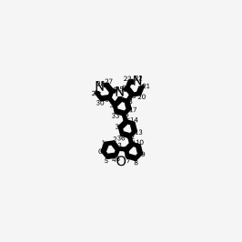 c1ccc2c(c1)oc1cccc(-c3ccc(-c4cc5c6ccncc6n6c7cnccc7c(c4)c56)cc3)c12